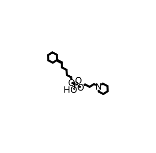 O=P(O)(OCCCCC=C1CCCCC1)OCCCN1CCCCC1